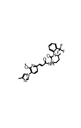 COc1nc(/C=C/C(=O)NN2CCC(C)N(c3ccccc3C(F)(F)F)C2=O)ccc1-n1cnc(C)c1